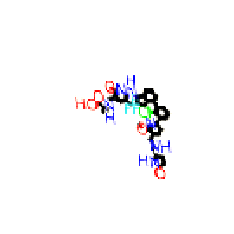 COc1nc(-c2cccc(-c3cccc4c3CC[C@@H]4Nc3nc(OC)c(CN[C@@H](C)C(=O)O)cc3C(F)(F)F)c2Cl)ccc1CNC[C@@H]1CCC(=O)N1